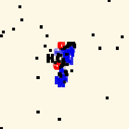 Cc1c(C(=O)N2CCn3cnnc3C2)cnn1-c1nn2cccc2c(=O)[nH]1